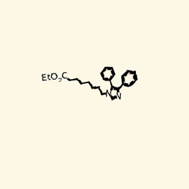 CCOC(=O)CCCCCCCn1cnc(-c2ccccc2)c1-c1ccccc1